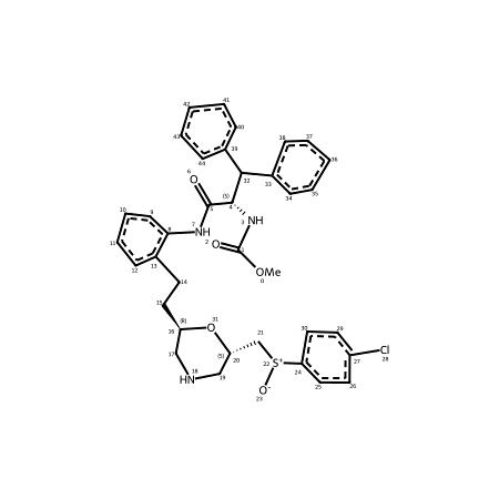 COC(=O)N[C@H](C(=O)Nc1ccccc1CC[C@@H]1CNC[C@@H](C[S+]([O-])c2ccc(Cl)cc2)O1)C(c1ccccc1)c1ccccc1